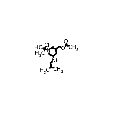 CC(=O)OCC1CC(NCC(C)C)CN(C(C)(C)O)C1